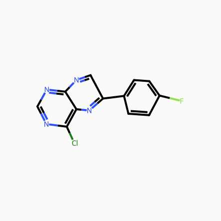 Fc1ccc(-c2cnc3ncnc(Cl)c3n2)cc1